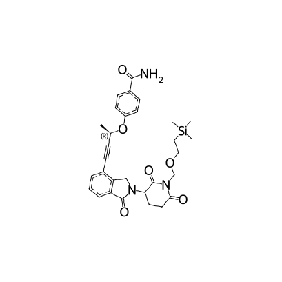 C[C@H](C#Cc1cccc2c1CN(C1CCC(=O)N(COCC[Si](C)(C)C)C1=O)C2=O)Oc1ccc(C(N)=O)cc1